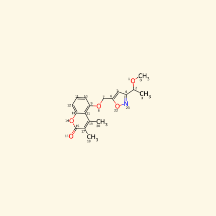 COC(C)c1cc(COc2cccc3oc(=O)c(C)c(C)c23)on1